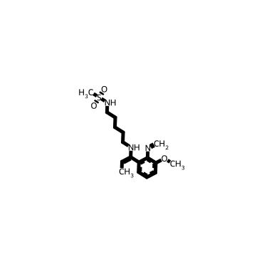 C=Nc1c(OC)cccc1/C(=C\C)NCCCCCNS(C)(=O)=O